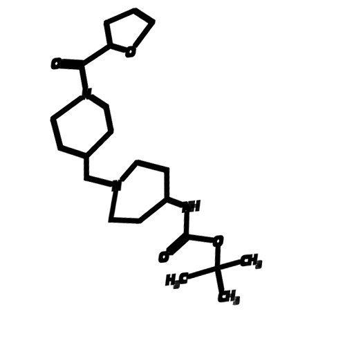 CC(C)(C)OC(=O)NC1CCN(CC2CCN(C(=O)C3CCCO3)CC2)CC1